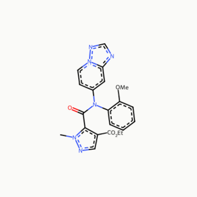 CCOC(=O)c1cnn(C)c1C(=O)N(c1ccn2ncnc2c1)c1ccccc1OC